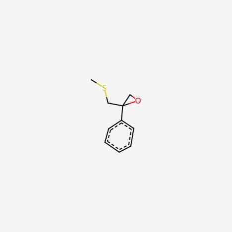 CSCC1(c2ccccc2)CO1